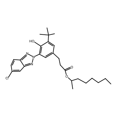 CCCCCCC(C)OC(=O)CCc1cc(-n2nc3ccc(Cl)cc3n2)c(O)c(C(C)(C)C)c1